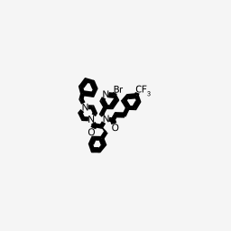 O=C([C@H](Cc1ccccc1)N(Cc1ccc(Br)nc1)C(=O)/C=C/c1ccc(C(F)(F)F)cc1)N1CCN(Cc2ccccc2)CC1